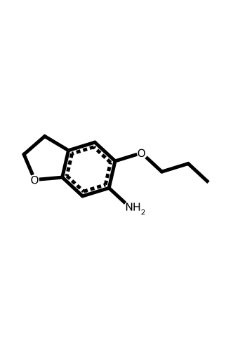 CCCOc1cc2c(cc1N)OCC2